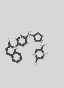 O=c1ccc2ccccc2n1-c1ccc(N[C@H]2CC[C@H](Nc3cnc(Cl)cn3)C2)nc1